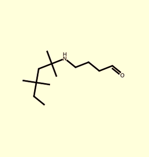 CCC(C)(C)CC(C)(C)NCCCC=O